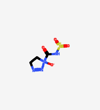 O=C(N[SH](=O)=O)[N+]1([O-])CCN=N1